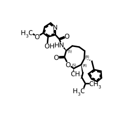 COc1ccnc(C(=O)N[C@H]2CCC[C@H](Cc3ccccc3)[C@@H](CCC(C)C)[C@H](C)OC2=O)c1O